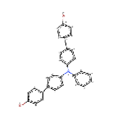 Brc1ccc(-c2ccc(N(c3ccccc3)c3ccc(-c4ccc(Br)cc4)cc3)cc2)cc1